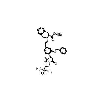 CC(C)(C)OC(=O)N1Cc2ccccc2C[C@H]1C=Cc1ccc(N2CC(=O)N(CC[Si](C)(C)C)S2(=O)=O)c(OCc2ccccc2)c1